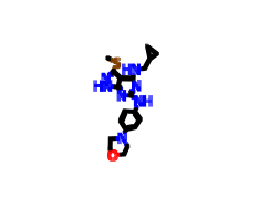 CSc1n[nH]c2nc(Nc3ccc(N4CCOCC4)cc3)nc(NCC3CC3)c12